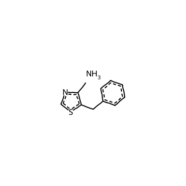 Cc1ncsc1Cc1ccccc1.N